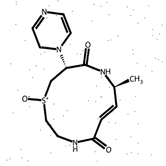 C[C@H]1/C=C/C(=O)NCC[S+]([O-])C[C@H](N2C=CN=CC2)C(=O)N1